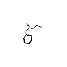 O=[PH](OCO)Oc1ccccc1